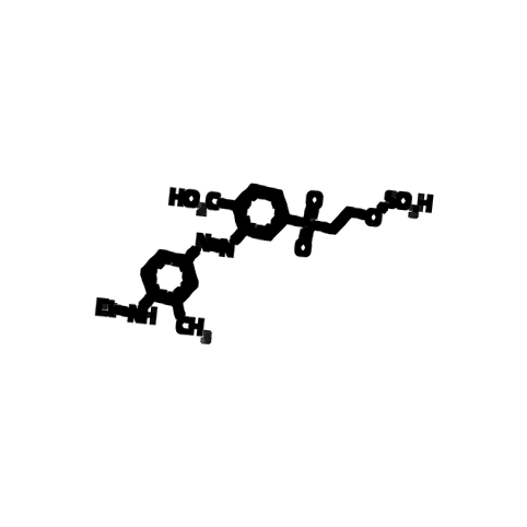 CCNc1ccc(N=Nc2cc(S(=O)(=O)CCOS(=O)(=O)O)ccc2C(=O)O)cc1C